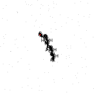 CCC[C@@H](CCc1nnc(NC(=O)Cc2cccc(NC3CC(F)(F)C3)n2)s1)c1nnc(NC(=O)Cc2cccc(NC3CC(F)(F)C3)n2)s1